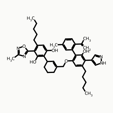 C=C(C)c1ccc(C)cc1-c1c(OCC2=CC(c3c(O)cc(CCCCC)c(-c4nc(C)no4)c3O)CCC2)cc(CCCCC)c(-c2cn[nH]c2)c1O